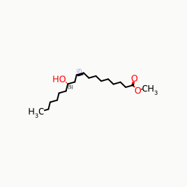 CCCCCC[C@H](O)C/C=C\CCCCCCCC(=O)OC